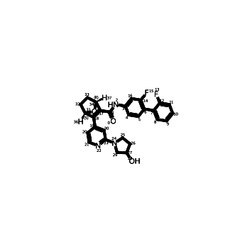 O=C(Nc1ccc(-c2ccccc2F)c(F)c1)C1=C(c2ccnc(N3CCC(O)C3)c2)[C@@H]2CC[C@H]1O2